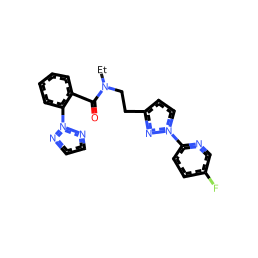 CCN(CCc1ccn(-c2ccc(F)cn2)n1)C(=O)c1ccccc1-n1nccn1